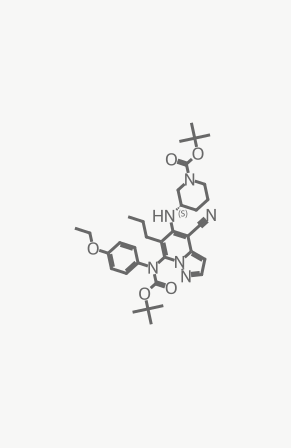 CCCc1c(N[C@H]2CCCN(C(=O)OC(C)(C)C)C2)c(C#N)c2ccnn2c1N(C(=O)OC(C)(C)C)c1ccc(OCC)cc1